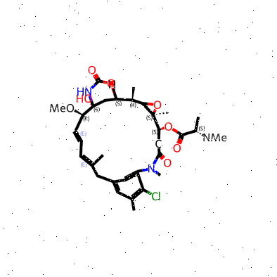 CN[C@@H](C)C(=O)O[C@H]1CC(=O)N(C)c2cc(cc(C)c2Cl)C/C(C)=C/C=C/[C@@H](OC)[C@@]2(O)C[C@H](OC(=O)N2)[C@@H](C)C2O[C@]21C